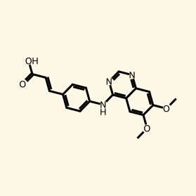 COc1cc2ncnc(Nc3ccc(C=CC(=O)O)cc3)c2cc1OC